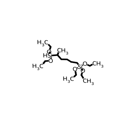 CCO[SiH](OCC)C(C)CCCC[Si](OCC)(OCC)OCC